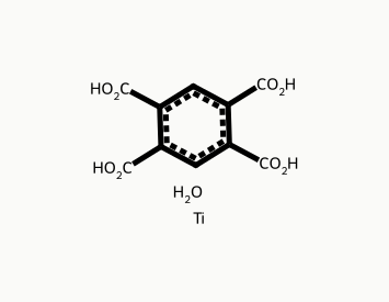 O.O=C(O)c1cc(C(=O)O)c(C(=O)O)cc1C(=O)O.[Ti]